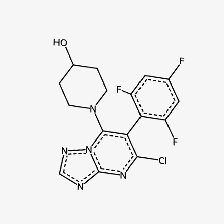 OC1CCN(c2c(-c3c(F)cc(F)cc3F)c(Cl)nc3ncnn23)CC1